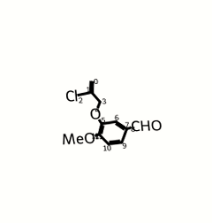 C=C(Cl)COc1cc(C=O)ccc1OC